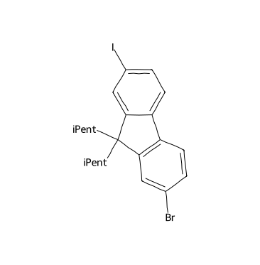 CCCC(C)C1(C(C)CCC)c2cc(Br)ccc2-c2ccc(I)cc21